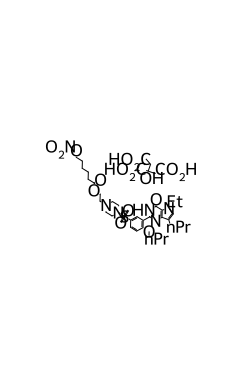 CCCOc1ccc(S(=O)(=O)N2CCN(CCOC(=O)CCCCCO[N+](=O)[O-])CC2)cc1-c1nc2c(CCC)cn(CC)c2c(=O)[nH]1.O=C(O)CC(O)(CC(=O)O)C(=O)O